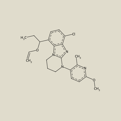 C=COC(CC)c1ccc(Cl)c2nc3n(c12)CCCN3c1ccc(OC)nc1C